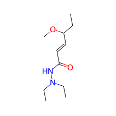 CCC(C=CC(=O)NN(CC)CC)OC